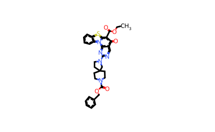 CCOC(=O)c1c(=O)c2cnc(N3CCC4(CCN(C(=O)OCc5ccccc5)CC4)C3)nc2n2c1sc1ccccc12